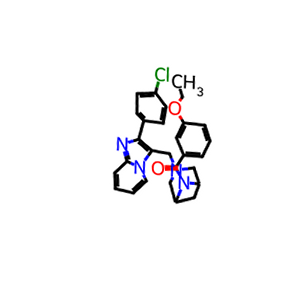 CCOc1cccc(C(=O)N2C3CC2CN(Cc2c(-c4ccc(Cl)cc4)nc4ccccn24)C3)c1